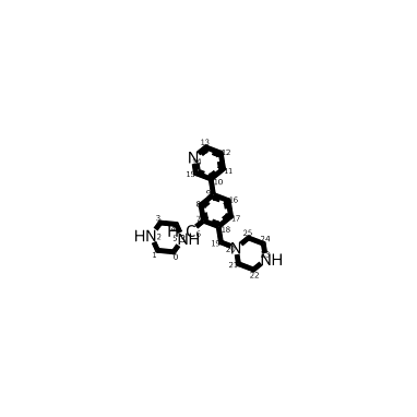 C1CNCCN1.Cc1cc(-c2cccnc2)ccc1CN1CCNCC1